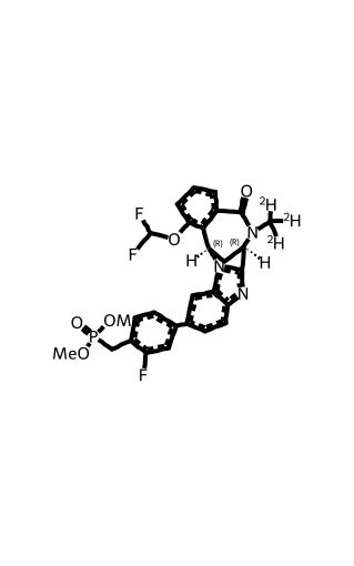 [2H]C([2H])([2H])N1C(=O)c2cccc(OC(F)F)c2[C@H]2C[C@@H]1c1nc3ccc(-c4ccc(CP(=O)(OC)OC)c(F)c4)cc3n12